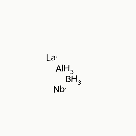 B.[AlH3].[La].[Nb]